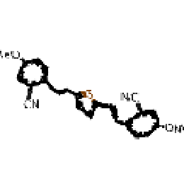 COc1ccc(/C=C/c2ccc(/C=C/c3ccc(OC)cc3C#N)s2)c(C#N)c1